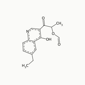 CCc1ccc2ncc(C(=O)C(C)OC=O)c(O)c2c1